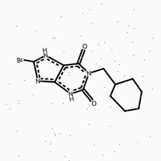 O=c1[nH]c2nc(Br)[nH]c2c(=O)n1CC1CCCCC1